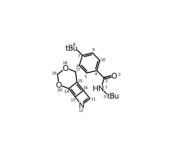 CC(C)(C)NC(=O)c1ccc(C(C)(C)C)cc1.c1nc2c3c(c1-2)COCO3